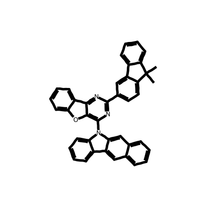 CC1(C)c2ccccc2-c2cc(-c3nc(-n4c5ccccc5c5cc6ccccc6cc54)c4oc5ccccc5c4n3)ccc21